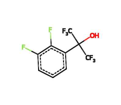 OC(c1cccc(F)c1F)(C(F)(F)F)C(F)(F)F